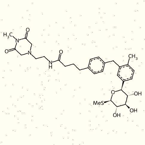 CS[C@H]1O[C@@H](c2ccc(C)c(Cc3ccc(CCCC(=O)NCCN4CC(=O)N(C)C(=O)C4)cc3)c2)[C@H](O)[C@@H](O)[C@@H]1O